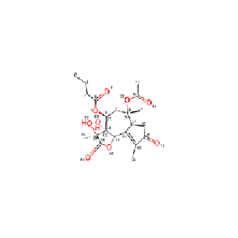 CCCC(=O)O[C@H]1C[C@](C)(OC(C)=O)C2CC(=O)C(C)=C2C2OC(=O)[C@@](C)(O)[C@]21O